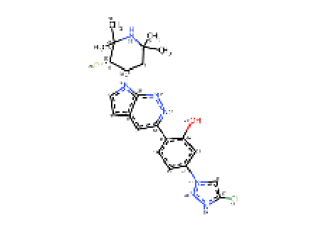 CC1(C)C[C@H](n2ccc3cc(-c4ccc(-n5cc(Cl)nn5)cc4O)nnc32)[C@H](F)C(C)(C)N1